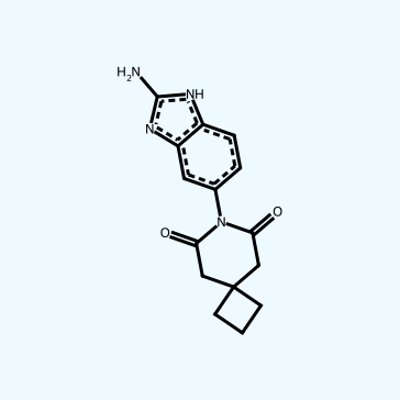 Nc1nc2cc(N3C(=O)CC4(CCC4)CC3=O)ccc2[nH]1